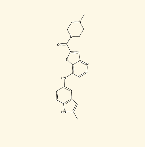 Cc1cc2cc(Nc3ccnc4cc(C(=O)N5CCN(C)CC5)sc34)ccc2[nH]1